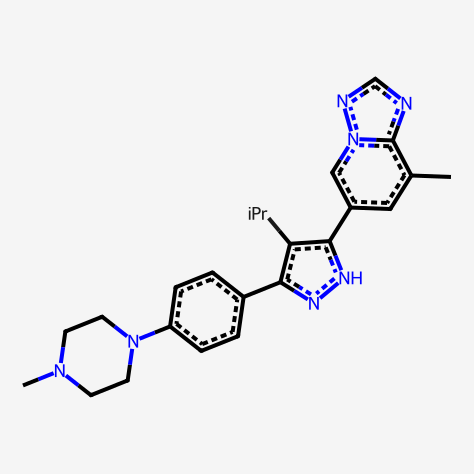 Cc1cc(-c2[nH]nc(-c3ccc(N4CCN(C)CC4)cc3)c2C(C)C)cn2ncnc12